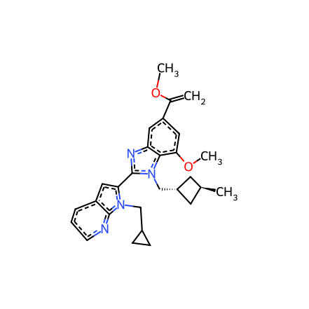 C=C(OC)c1cc(OC)c2c(c1)nc(-c1cc3cccnc3n1CC1CC1)n2C[C@H]1C[C@H](C)C1